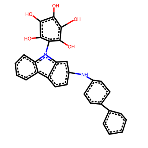 Oc1c(O)c(O)c(-n2c3ccccc3c3ccc(Nc4ccc(-c5ccccc5)cc4)cc32)c(O)c1O